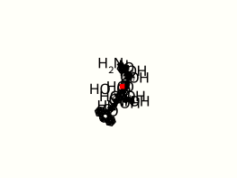 Nc1ccn([C@@H]2O[C@H](COP(=O)(O)OC3(C(=O)O)CC(O)C(NC(=O)CNC(=O)OC4Cc5ccccc5C#Cc5ccccc54)C(C(O)[C@H](O)CO)O3)[C@H](O)[C@@H]2O)c(=O)n1